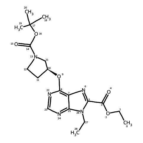 CCOC(=O)c1nc2c(O[C@H]3CCN(C(=O)OC(C)(C)C)C3)ncnc2n1CC